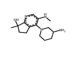 CNc1cnc2c(c1N1CCCC(N)C1)CCC2(C)O